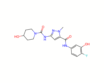 Cn1nc(NC(=O)N2CCC(O)CC2)cc1C(=O)Nc1ccc(F)c(O)c1